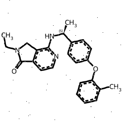 CCN1Cc2c(ccnc2N[C@@H](C)c2ccc(Oc3ccccc3C)cc2)C1=O